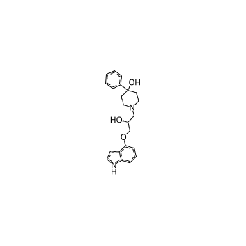 O[C@H](COc1cccc2[nH]ccc12)CN1CCC(O)(c2ccccc2)CC1